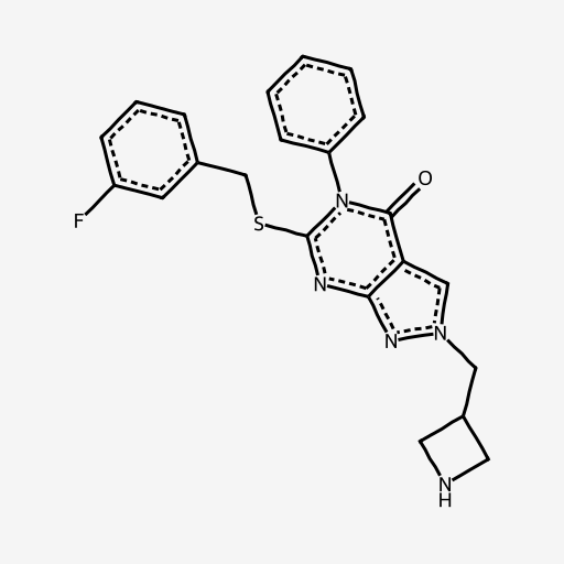 O=c1c2cn(CC3CNC3)nc2nc(SCc2cccc(F)c2)n1-c1ccccc1